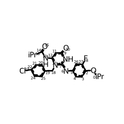 CC(C)Oc1ccc(/N=c2\[nH]c(=O)cc(NC(=O)C(C)C)n2Cc2ccc(Cl)cc2)cc1F